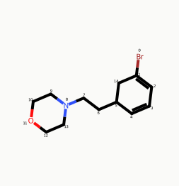 BrC1=CC=CC(CCN2CCOCC2)C1